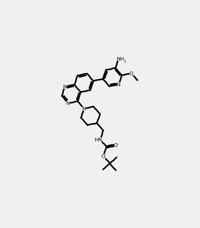 COc1ncc(-c2ccc3ncnc(N4CCC(CNC(=O)OC(C)(C)C)CC4)c3c2)cc1N